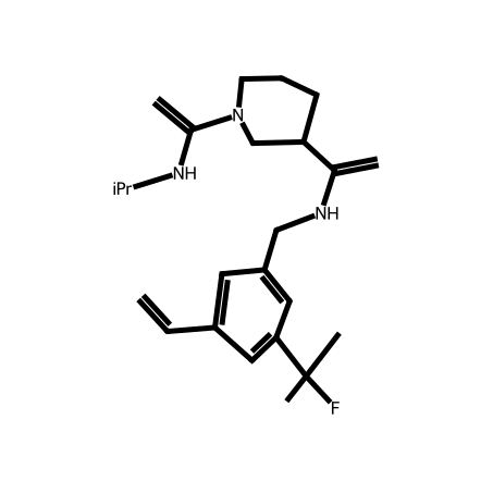 C=Cc1cc(CNC(=C)C2CCCN(C(=C)NC(C)C)C2)cc(C(C)(C)F)c1